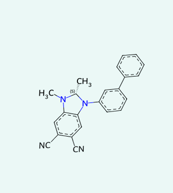 C[C@H]1N(C)c2cc(C#N)c(C#N)cc2N1c1cccc(-c2ccccc2)c1